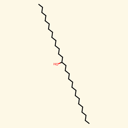 CCCCCCCCCCCCCCCC(O)CCCCCCCCCCCCCC